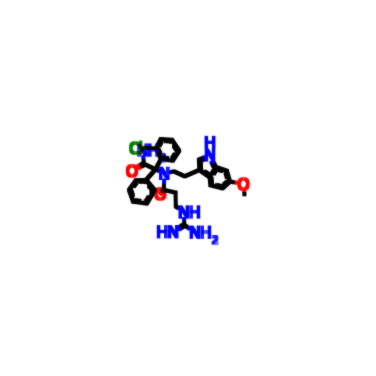 COc1ccc2c(CCN(C(=O)CCNC(=N)N)C(C(N)=O)(c3ccccc3)c3ccccc3Cl)c[nH]c2c1